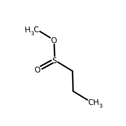 CCCS(=O)OC